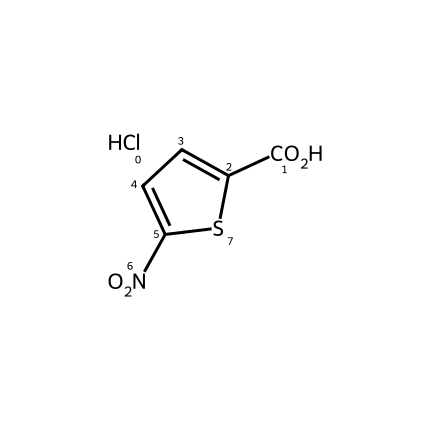 Cl.O=C(O)c1ccc([N+](=O)[O-])s1